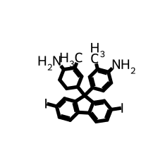 CC1=CC(C2(c3ccc(N)c(C)c3)c3cc(I)ccc3-c3ccc(I)cc32)CCC1N